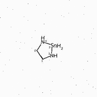 C1C[NH][SnH2][NH]1